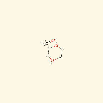 C1COCCO1.C=O